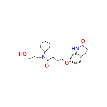 O=C1CCc2ccc(OCCCC(=O)N(CCCO)C3CCCCC3)cc2N1